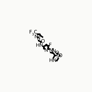 Cc1cc(C(F)(F)F)nn1CC(=O)Nc1cnc(-n2cnc(C3CNCCS3(=O)=O)c2)c(F)c1